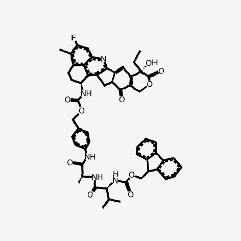 CC[C@@]1(O)C(=O)OCC2=C1C=C1c3nc4cc(F)c(C)c5c4c(c3CC1C2=O)[C@@H](NC(=O)OCc1ccc(NC(=O)[C@H](C)NC(=O)[C@@H](NC(=O)OCC2c3ccccc3-c3ccccc32)C(C)C)cc1)CC5